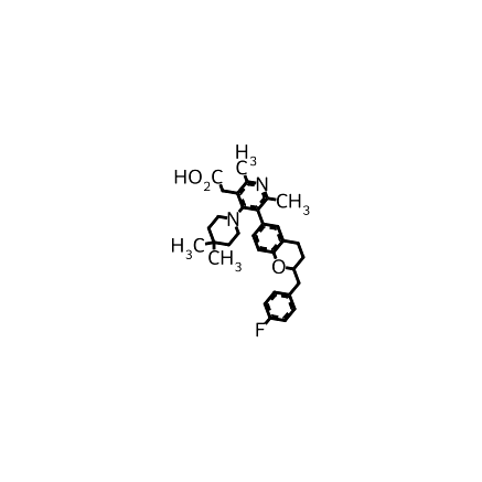 Cc1nc(C)c(-c2ccc3c(c2)CCC(Cc2ccc(F)cc2)O3)c(N2CCC(C)(C)CC2)c1CC(=O)O